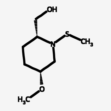 CO[C@@H]1CC[C@H](CO)N(SC)C1